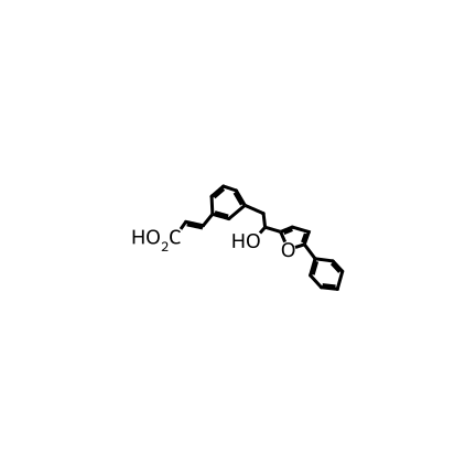 O=C(O)C=Cc1cccc(CC(O)c2ccc(-c3ccccc3)o2)c1